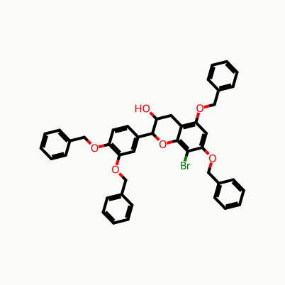 OC1Cc2c(OCc3ccccc3)cc(OCc3ccccc3)c(Br)c2OC1c1ccc(OCc2ccccc2)c(OCc2ccccc2)c1